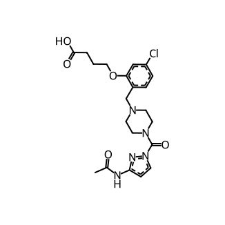 CC(=O)Nc1ccn(C(=O)N2CCN(Cc3ccc(Cl)cc3OCCCC(=O)O)CC2)n1